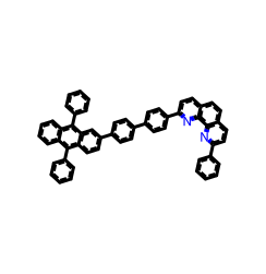 c1ccc(-c2ccc3ccc4ccc(-c5ccc(-c6ccc(-c7ccc8c(-c9ccccc9)c9ccccc9c(-c9ccccc9)c8c7)cc6)cc5)nc4c3n2)cc1